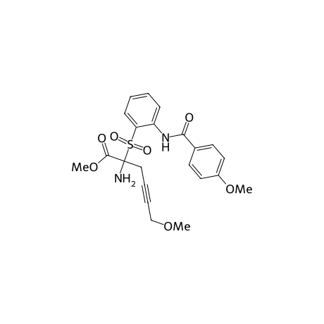 COCC#CCC(N)(C(=O)OC)S(=O)(=O)c1ccccc1NC(=O)c1ccc(OC)cc1